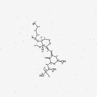 C=C1/C(=C\C=C2/CCC[C@]3(C)[C@@H]([C@@H](C)CCCC(C)C)CC[C@@H]23)C[C@@H](O)CC1CC(O)C(C)(C)O